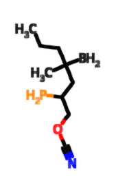 BC(C)(CCC)CC(P)COC#N